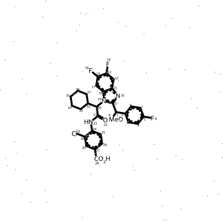 COC(c1ccc(F)cc1)c1nc2cc(F)c(F)cc2n1C(C(=O)Nc1ccc(C(=O)O)cc1Cl)C1CCCCC1